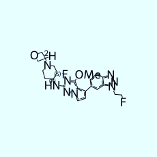 [2H]C1(N2CC[C@@H](Nc3nc(OC)c4c(-c5ccc6nnn(CCF)c6c5)ccn4n3)[C@@H](F)C2)COC1